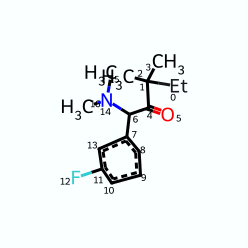 CCC(C)(C)C(=O)C(c1cccc(F)c1)N(C)C